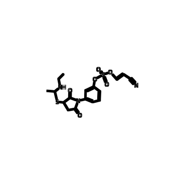 CCNC(C)SC1CC(=O)N(c2cccc(OS(=O)(=O)O/C=C/C#N)c2)C1=O